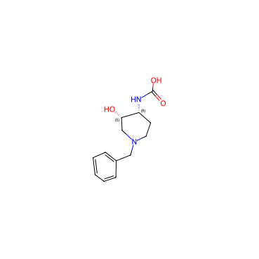 O=C(O)N[C@@H]1CCN(Cc2ccccc2)C[C@@H]1O